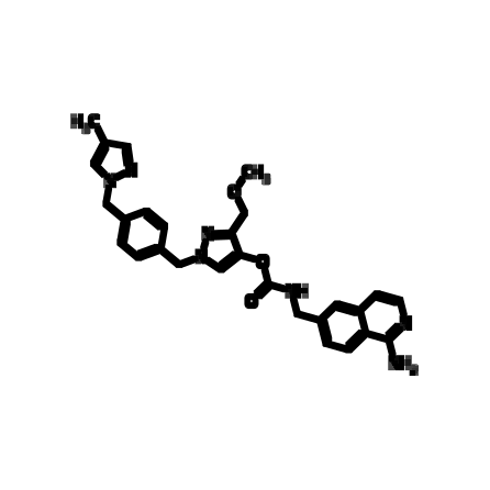 COCc1nn(Cc2ccc(Cn3cc(C)cn3)cc2)cc1OC(=O)NCc1ccc2c(N)nccc2c1